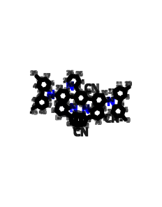 Cc1ccc2c(c1)c1cc(C)ccc1n2-c1ccc(-c2c(C#N)c(-c3ccccn3)c(-c3ccc(-n4c5ccc(C)cc5c5cc(C)ccc54)cc3)c(-n3c4ccccc4c4cc(C#N)ccc43)c2-n2c3ccccc3c3cc(C#N)ccc32)cc1